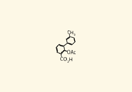 CC(=O)Oc1c(C(=O)O)cccc1-c1cccc(C)c1